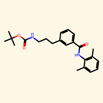 Cc1cccc(C)c1NC(=O)c1cccc(CCCNC(=O)OC(C)(C)C)c1